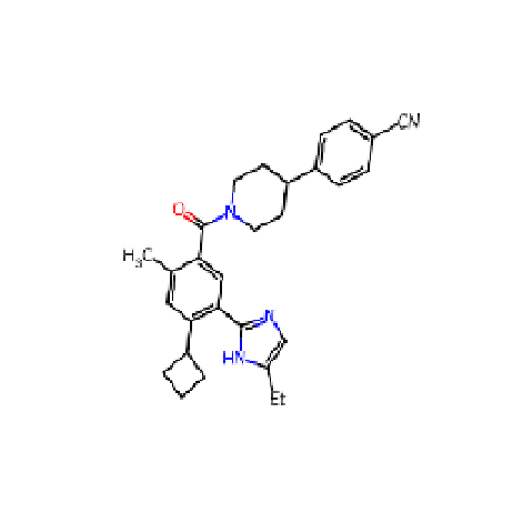 CCc1cnc(-c2cc(C(=O)N3CCC(c4ccc(C#N)cc4)CC3)c(C)cc2C2CCC2)[nH]1